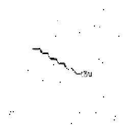 C=CC=CC=CC=CCCCC(C)(C)C